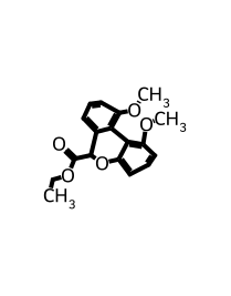 CCOC(=O)C1Oc2cccc(OC)c2-c2c(OC)cccc21